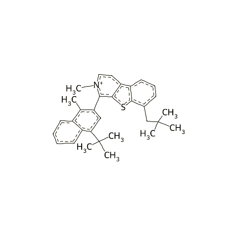 Cc1c(-c2c3sc4c(CC(C)(C)C)cccc4c3cc[n+]2C)cc(C(C)(C)C)c2ccccc12